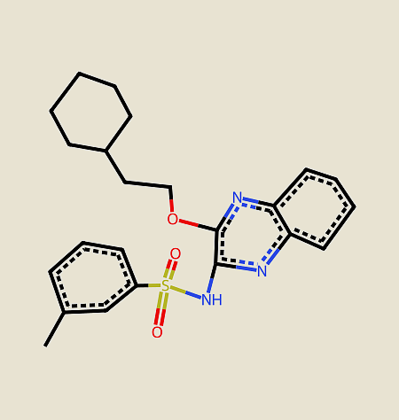 Cc1cccc(S(=O)(=O)Nc2nc3ccccc3nc2OCCC2CCCCC2)c1